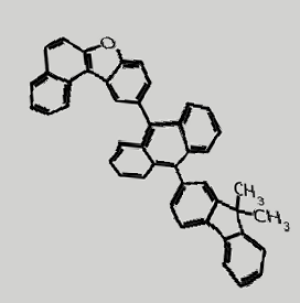 CC1(C)c2ccccc2-c2ccc(-c3c4ccccc4c(-c4ccc5oc6ccc7ccccc7c6c5c4)c4ccccc34)cc21